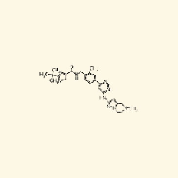 Cc1cc(-c2cc(Nc3cc4n(n3)CCN(C)C4)ncn2)ccc1CNC(=O)c1cnc(C(C)(C)C)s1